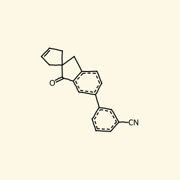 N#Cc1cccc(-c2ccc3c(c2)C(=O)C2(CC=CC2)C3)c1